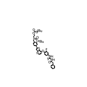 CC(C)(C)OC(=O)OCCN(Cc1ccc(-c2cc3nccc(Oc4ccc(NC(=S)NC(=O)Cc5ccccc5)cc4F)c3s2)cc1)C(=O)OC(C)(C)C